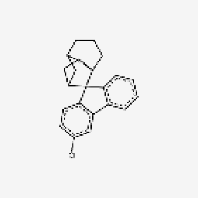 Clc1ccc2c(c1)-c1ccccc1C21C2CCC13CCCC(C2)C3